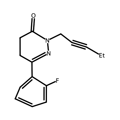 CCC#CCN1N=C(c2ccccc2F)CCC1=O